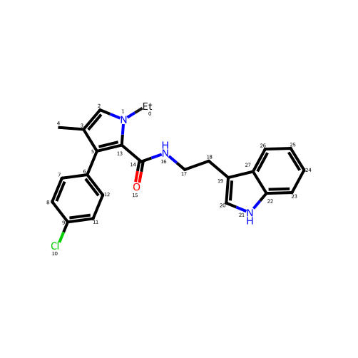 CCn1cc(C)c(-c2ccc(Cl)cc2)c1C(=O)NCCc1c[nH]c2ccccc12